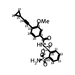 COc1cc(C(=O)NS(=O)(=O)c2ccccc2S(N)(=O)=O)ccc1C#CC1CC1